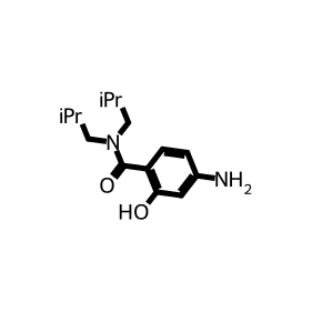 CC(C)CN(CC(C)C)C(=O)c1ccc(N)cc1O